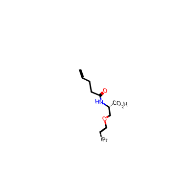 C=CCCC(=O)N[C@@H](COCCC(C)C)C(=O)O